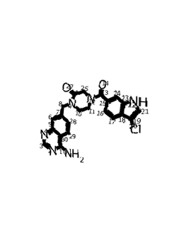 Nc1ncnc2cc(CN3CCN(C(=O)c4ccc5c(Cl)c[nH]c5c4)CC3=O)ccc12